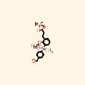 COC(=O)CCc1cccc([Si](C)(C)c2ccc(C=O)cc2)c1OC